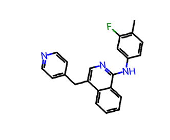 Cc1ccc(Nc2ncc(Cc3ccncc3)c3ccccc23)cc1F